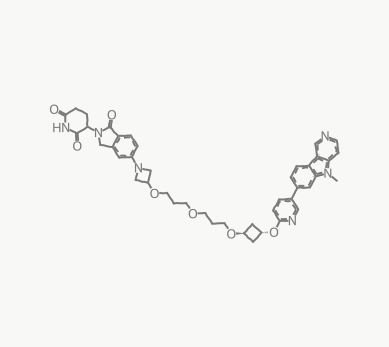 Cn1c2ccncc2c2ccc(-c3ccc(O[C@H]4C[C@H](OCCCOCCCOC5CN(c6ccc7c(c6)CN(C6CCC(=O)NC6=O)C7=O)C5)C4)nc3)cc21